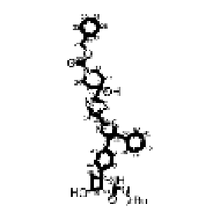 CC(C)(C)OC(=O)N[C@]1(c2ccc(-c3nc(-c4cnc(C5(O)CCN(C(=O)OCc6ccccc6)CC5)s4)sc3-c3ccccc3)cc2)C[C@@H](O)C1